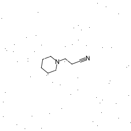 N#CCCN1C[CH]CCC1